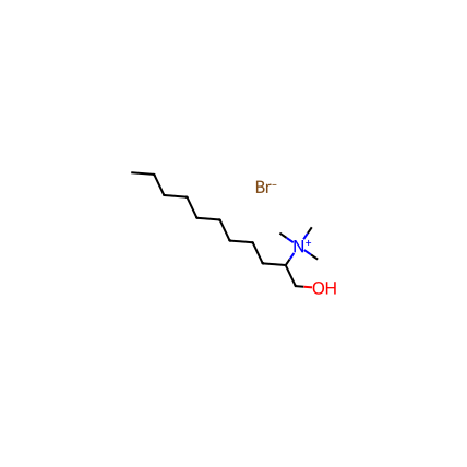 CCCCCCCCCC(CO)[N+](C)(C)C.[Br-]